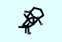 CC(C)N1C[C@H]2CCC[C@@H](C1)[N+]2(CC(=O)O)C(C)C